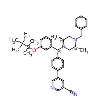 C[C@@H]1CN([C@H](c2ccc(-c3cncc(C#N)c3)cc2)c2cccc(O[Si](C)(C)C(C)(C)C)c2)[C@@H](C)CN1Cc1ccccc1